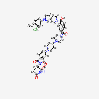 N#Cc1ccc(N2CCC3(CCN(C(=O)C45CCC(C(=O)N6CCN(C7CCN(c8ccc9c(c8)C(=O)N(C8CCC(=O)NC8=O)C9=O)CC7)CC6)(CC4)CC5)CC3)C2)cc1Cl